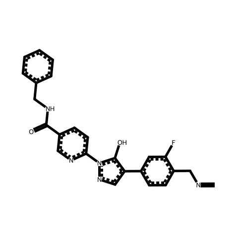 C=NCc1ccc(-c2cnn(-c3ccc(C(=O)NCc4ccccc4)cn3)c2O)cc1F